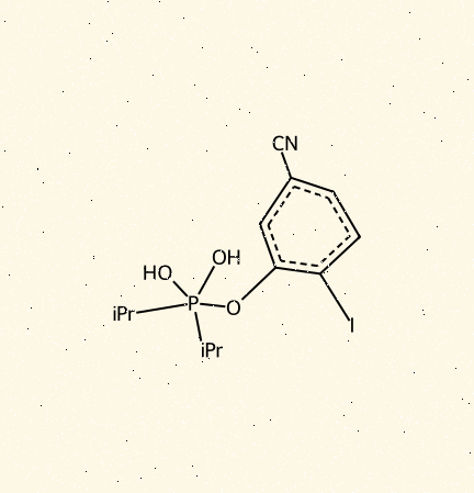 CC(C)P(O)(O)(Oc1cc(C#N)ccc1I)C(C)C